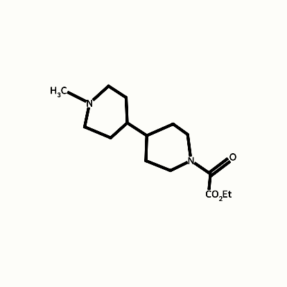 CCOC(=O)C(=O)N1CCC(C2CCN(C)CC2)CC1